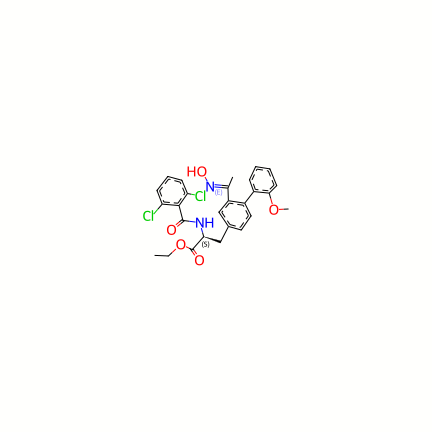 CCOC(=O)[C@H](Cc1ccc(-c2ccccc2OC)c(/C(C)=N/O)c1)NC(=O)c1c(Cl)cccc1Cl